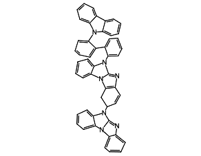 C1=CC(n2c3ccccc3n3c4ccccc4nc23)Cc2c1nc1n(-c3ccccc3-c3ccccc3-n3c4ccccc4c4ccccc43)c3ccccc3n21